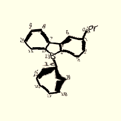 CC(C)c1ccc2c(c1)-c1ccccc1B2c1ccccc1